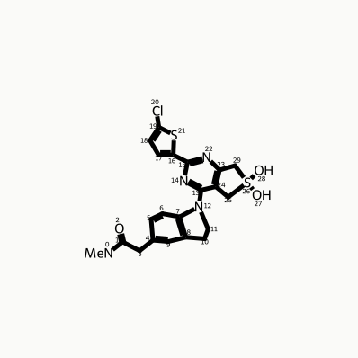 CNC(=O)Cc1ccc2c(c1)CCN2c1nc(-c2ccc(Cl)s2)nc2c1CS(O)(O)C2